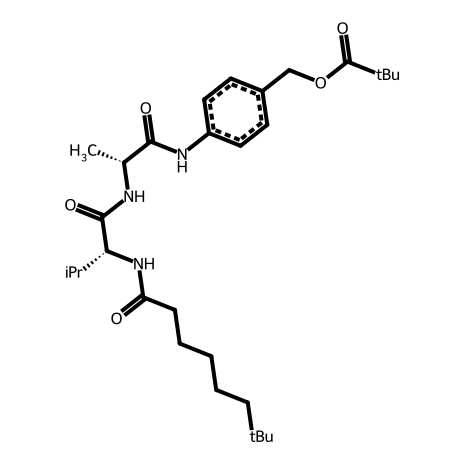 CC(C)[C@@H](NC(=O)CCCCCC(C)(C)C)C(=O)N[C@H](C)C(=O)Nc1ccc(COC(=O)C(C)(C)C)cc1